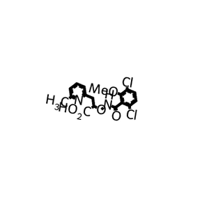 COc1c(Cl)ccc(Cl)c1C(=O)NOC(Cc1cccc(C)n1)C(=O)O